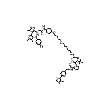 Cc1ncsc1-c1ccc(CNC(=O)[C@@H]2CCCN2C(=O)[C@@H](NC(=O)COCCOCCOCCCCOc2ccc(NC(=O)C[C@@H]3N=C(c4ccc(Cl)cc4)c4c(sc(C)c4C)-n4c(C)nnc43)cc2)C(C)(C)C)cc1